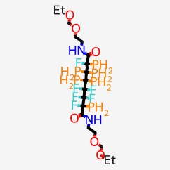 CCOCOCCNC(=O)C(F)(P)C(F)(F)C(F)(F)C(P)(P)C(P)(P)C(F)(P)C(=O)NCCOCOCC